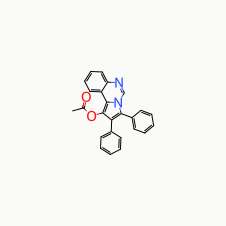 CC(=O)Oc1c(-c2ccccc2)c(-c2ccccc2)n2cnc3ccccc3c12